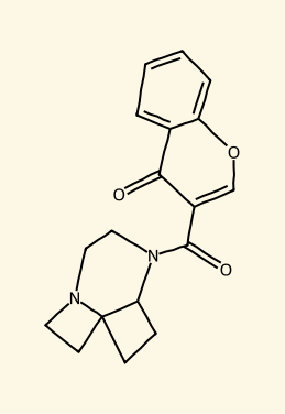 O=C(c1coc2ccccc2c1=O)N1CCN2CCC23CCC13